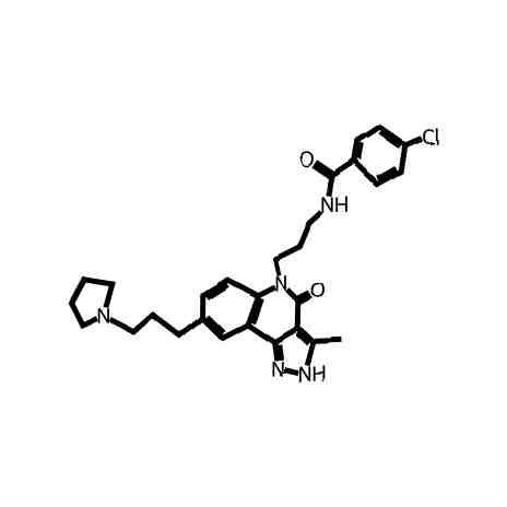 Cc1[nH]nc2c1c(=O)n(CCCNC(=O)c1ccc(Cl)cc1)c1ccc(CCCN3CCCC3)cc21